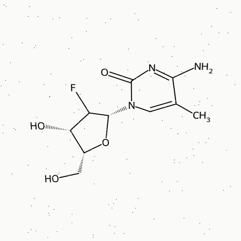 Cc1cn([C@@H]2O[C@H](CO)[C@H](O)C2F)c(=O)nc1N